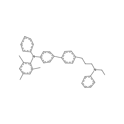 CCN(CCCc1ccc(-c2ccc(N(c3ccccc3)c3c(C)cc(C)cc3C)cc2)cc1)c1ccccc1